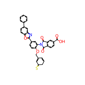 O=C(O)c1ccc2c(c1)C(=O)N(c1cc(-c3nc4cc(-c5ccccc5)ccc4o3)ccc1OCC1=CC(=S)CC=C1)C2=O